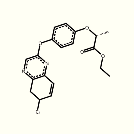 CCOC(=O)[C@@H](C)Oc1ccc(Oc2cnc3c(n2)C=CC(Cl)C3)cc1